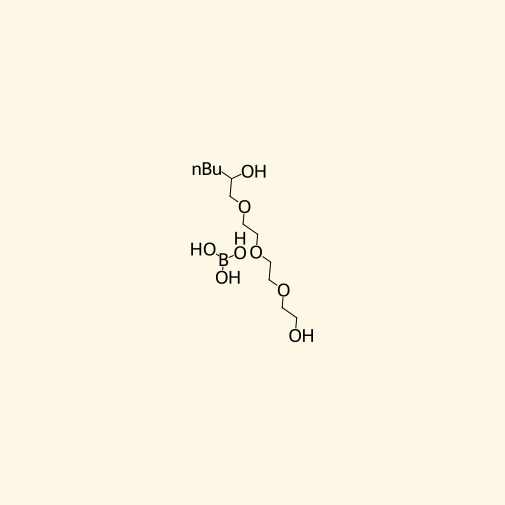 CCCCC(O)COCCOCCOCCO.OB(O)O